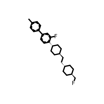 Cc1ccc(-c2ccc([C@H]3CC[C@H](CC[C@H]4CC[C@H](CF)CC4)CC3)c(F)c2)cc1